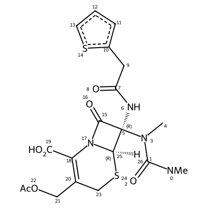 CNC(=O)N(C)[C@]1(NC(=O)Cc2cccs2)C(=O)N2C(C(=O)O)=C(COC(C)=O)CS[C@@H]21